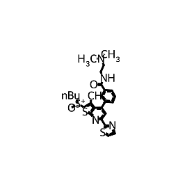 CCCC[S+]([O-])c1sc2nc(-c3nccs3)cc(-c3cccc(C(=O)NCCN(C)C)c3)c2c1C